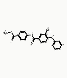 COC(=O)c1ccc(OC(=O)c2ccc(Oc3ccccc3)c(N)c2)cc1